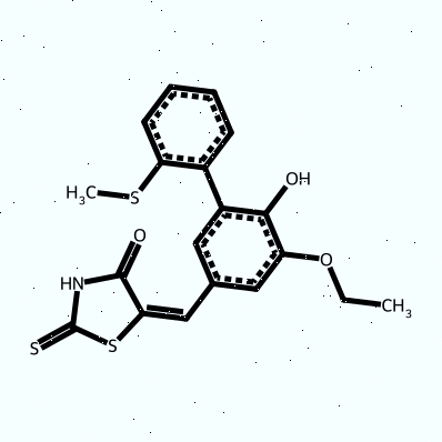 CCOc1cc(C=C2SC(=S)NC2=O)cc(-c2ccccc2SC)c1O